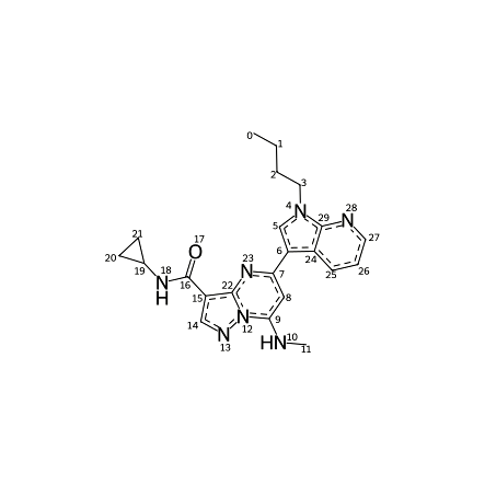 CCCCn1cc(-c2cc(NC)n3ncc(C(=O)NC4CC4)c3n2)c2cccnc21